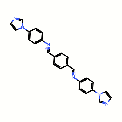 C(=N\c1ccc(-n2ccnc2)cc1)/c1ccc(/C=N/c2ccc(-n3ccnc3)cc2)cc1